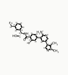 Cc1c(-c2cnc(N)c(-c3ccc(C(=O)N[C@H](CO)c4cccc(CF)c4)c(F)c3)c2)cnn1C